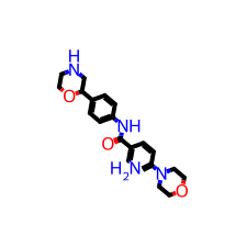 C=C(/C=C\C(=C/N)C(=O)Nc1ccc(C2CNCCO2)cc1)N1CCOCC1